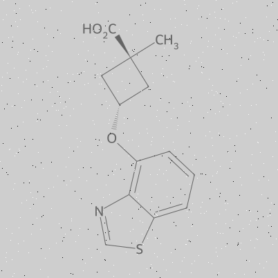 C[C@]1(C(=O)O)C[C@H](Oc2cccc3scnc23)C1